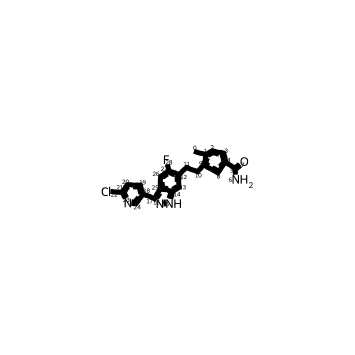 Cc1ccc(C(N)=O)cc1CCc1cc2[nH]nc(-c3ccc(Cl)nc3)c2cc1F